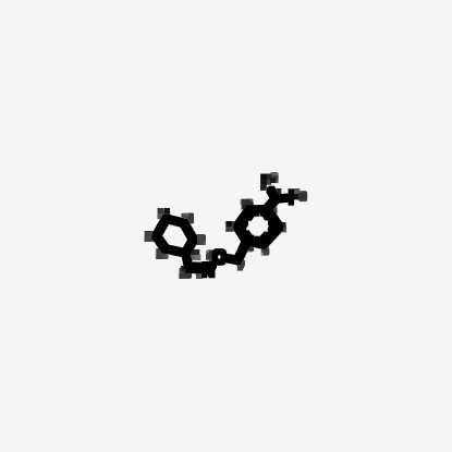 FC(F)c1ccc(CO/N=[C]\C2CCCCC2)cc1